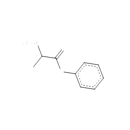 CCCCCC(C)C(=O)Oc1ccccc1